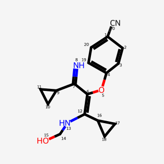 N#Cc1ccc(O/C(C(=N)C2CC2)=C(/NCO)C2CC2)cc1